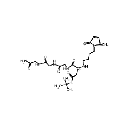 C=C1C=CC(=O)N1CCCCN[C@@H](CC(=O)OC(C)(C)C)C(=O)NCC(=O)NCC(=O)NCC(N)=O